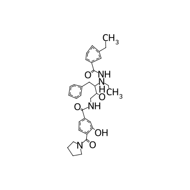 CCc1cccc(C(=O)NN(CC)C(Cc2ccccc2)C(O)CNC(=O)c2ccc(C(=O)N3CCCC3)c(O)c2)c1